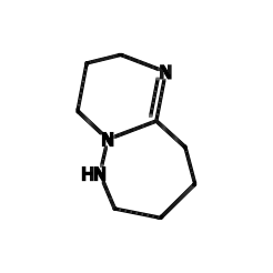 C1CCC2=NCCCN2NC1